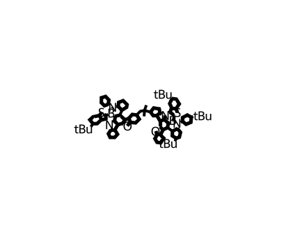 CC(C)(C)c1ccc(N2B3c4sc5ccc(C(C)(C)C)cc5c4-n4c5ccc(C(C)(C)Cc6ccc7oc8c(c9c%10c%11c8c8ccccc8n%11-c8c(sc%11ccc(C(C)(C)C)cc8%11)B%10N(c8ccccc8)c8ccccc8-9)c7c6)cc5c5c6oc7ccccc7c6c(c3c54)-c3cc(C(C)(C)C)ccc32)cc1